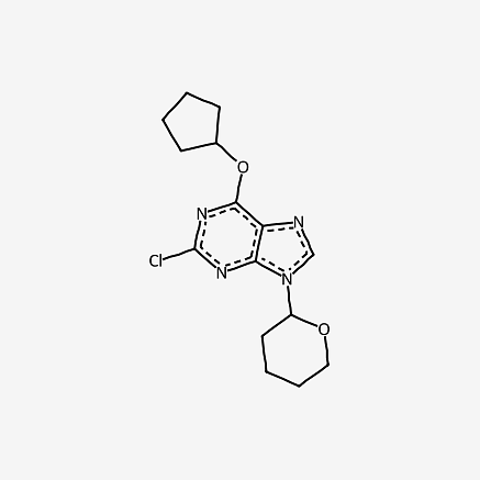 Clc1nc(OC2CCCC2)c2ncn(C3CCCCO3)c2n1